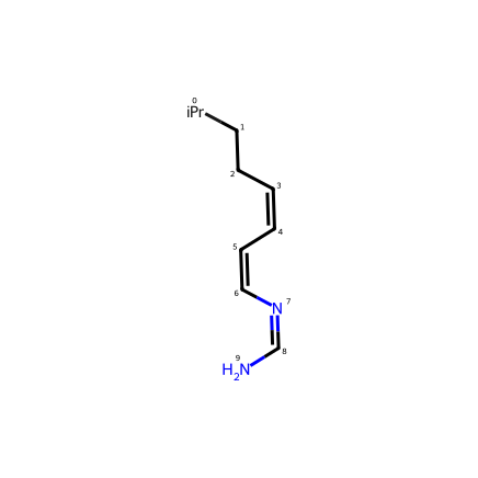 CC(C)CC\C=C/C=C\N=C/N